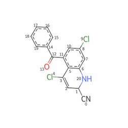 N#CC1C=C(Cl)c2c(cc(Cl)cc2C(=O)c2ccccc2)N1